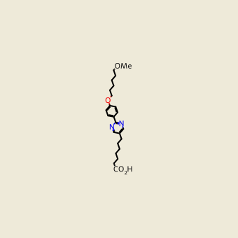 COCCCCCCOc1ccc(-c2ncc(CCCCCCC(=O)O)cn2)cc1